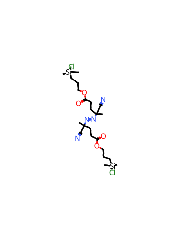 CC(C#N)(CCC(=O)OCCC[Si](C)(C)Cl)/N=N/C(C)(C#N)CCC(=O)OCCC[Si](C)(C)Cl